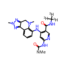 [2H]C([2H])([2H])NC(=O)c1cnc(NC(=O)NC)cc1Nc1cccc2c1N(C)Cc1nn(C)nc1-2